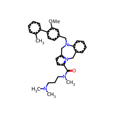 COc1cc(CN2Cc3ccc(C(=O)N(C)CCCN(C)C)n3Cc3ccccc32)ccc1-c1ccccc1C